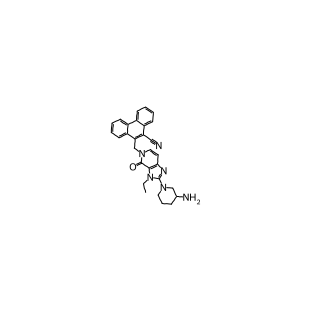 CCn1c(N2CCCC(N)C2)nc2ccn(Cc3c(C#N)c4ccccc4c4ccccc34)c(=O)c21